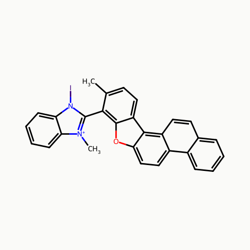 Cc1ccc2c(oc3ccc4c5ccccc5ccc4c32)c1-c1n(I)c2ccccc2[n+]1C